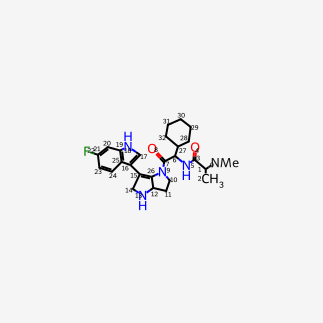 CNC(C)C(=O)NC(C(=O)N1CCC2NCC(c3c[nH]c4cc(F)ccc34)=C21)C1CCCCC1